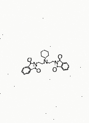 O=C1c2ccccc2C(=O)N1CCN(CCN1C(=O)c2ccccc2C1=O)C1CCCCC1